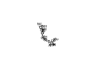 Cc1sc2c(c1C)C(c1ccc(-c3ccc(C(=O)NCc4ccc(S(=O)(=O)Nc5ccc(C)c6c(C#N)c[nH]c56)cc4)nn3)cc1)=N[C@@H](CC(=O)OC(C)(C)C)c1nnc(C)n1-2